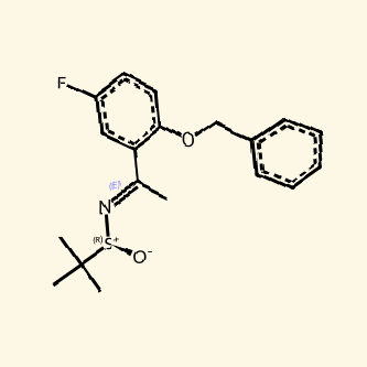 C/C(=N\[S@@+]([O-])C(C)(C)C)c1cc(F)ccc1OCc1ccccc1